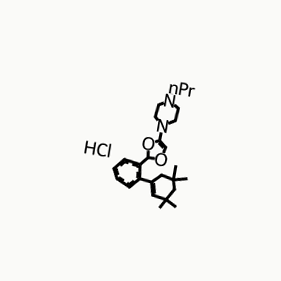 CCCN1CCN(C2=COC(c3ccccc3C3=CC(C)(C)CC(C)(C)C3)O2)CC1.Cl